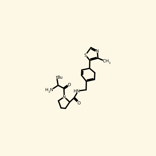 Cc1ncsc1C1C=CC(CNC(=O)C2CCCN2C(=O)C(N)C(C)(C)C)=CC1